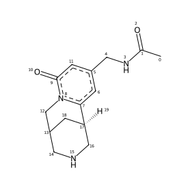 CC(=O)NCc1cc2n(c(=O)c1)CC1CNC[C@H]2C1